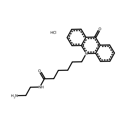 Cl.NCCNC(=O)CCCCCn1c2ccccc2c(=O)c2ccccc21